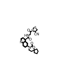 N#CC1CSCN1C(=O)CNC(=O)c1ccnc2ccc(N3CCC4(CCCC4)OC3=O)cc12